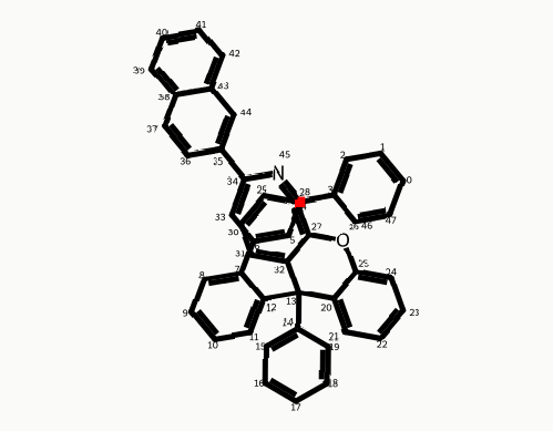 c1ccc(-c2cc(-c3ccccc3C3(c4ccccc4)c4ccccc4Oc4ccccc43)cc(-c3ccc4ccccc4c3)n2)cc1